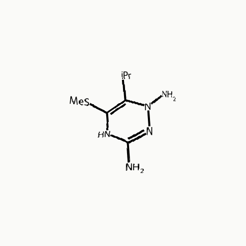 CSC1=C(C(C)C)N(N)N=C(N)N1